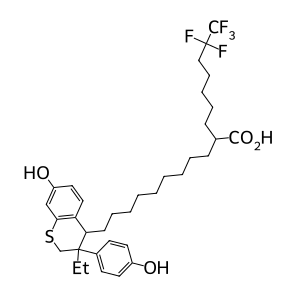 CCC1(c2ccc(O)cc2)CSc2cc(O)ccc2C1CCCCCCCCCC(CCCCCC(F)(F)C(F)(F)F)C(=O)O